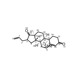 C=CCC1C[C@H]2[C@@H]3CCC4=CC(=O)CC[C@]4(CSC)[C@@H]3CC[C@]2(C)C1=O